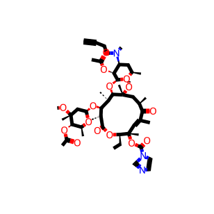 C#CCCN(C)[C@H]1C[C@@H](C)O[C@@H](O[C@@H]2[C@@H](C)[C@H](O[C@@H]3C[C@@](C)(OC)[C@@H](OC(C)=O)[C@H](C)O3)[C@@H](C)C(=O)O[C@H](CC)[C@@](C)(OC(=O)n3ccnc3)/C=C(\C)C(=O)[C@H](C)C[C@@]2(C)OC)[C@@H]1OC(C)=O